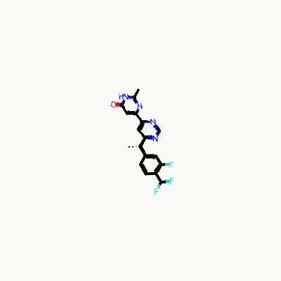 Cc1nc(-c2cc([C@@H](C)c3ccc(C(F)F)c(F)c3)ncn2)cc(=O)[nH]1